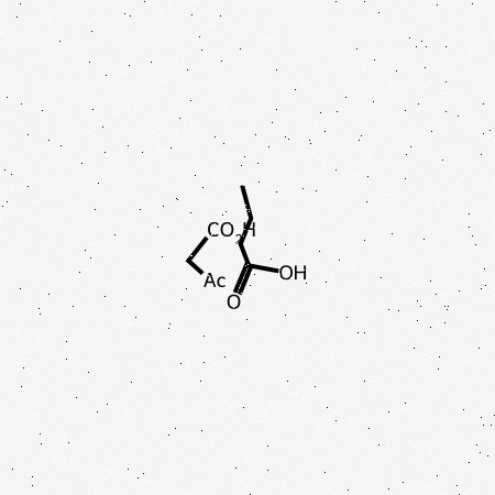 CC(=O)CC(=O)O.CCCC(=O)O